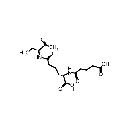 CC[C@H](NC(=O)CCC[C@H](NC(=O)CCCC(=O)O)C(=O)O)C(C)=O